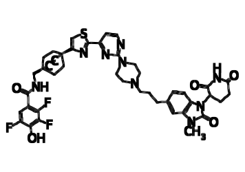 Cn1c(=O)n(C2CCC(=O)NC2=O)c2ccc(CCCN3CCN(c4nccc(-c5nc([C@]67CC[C@](CNC(=O)c8cc(F)c(O)c(F)c8F)(CC6)CC7)cs5)n4)CC3)cc21